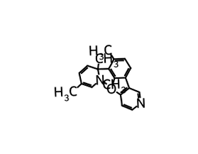 CC1=CN(C)C(C)(c2c(C)ccc3c2oc2ccncc23)C=C1